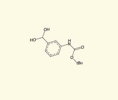 CC(C)(C)OC(=O)Nc1cccc(C(O)O)c1